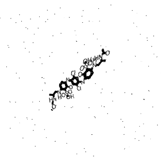 COCNC(C)CNc1ccc2c(c1S(=O)(=O)O)Oc1c(Cl)c3c(c(Cl)c1=N2)Oc1c(ccc(NCC(C)NC(C)=O)c1S(=O)(=O)O)N=3